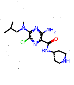 CC(C)CN(C)c1nc(N)c(C(=O)NC2CCNCC2)nc1Cl